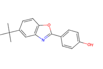 CCC(C)(C)c1ccc2oc(-c3ccc(O)cc3)nc2c1